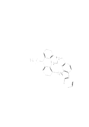 CC(C)C1=C2C(=CCC1)C(C)C1=CCCC3=C1N2C1c2c(ccc4c5c(oc24)CCC=C5)CN31